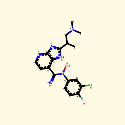 CC(CN(C)C)c1nc2nccc(C(=N)N(O)c3ccc(F)c(Cl)c3)c2[nH]1